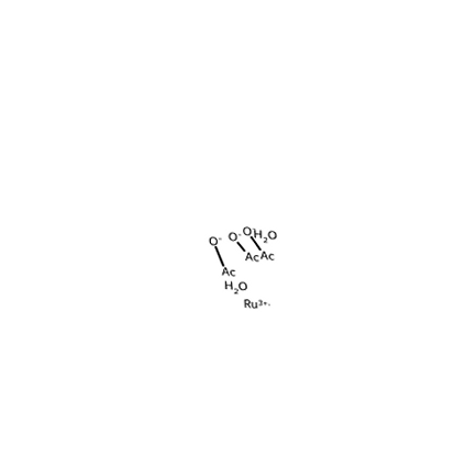 CC(=O)[O-].CC(=O)[O-].CC(=O)[O-].O.O.[Ru+3]